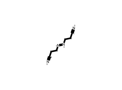 N#CCCN=NCCC#N